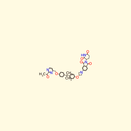 CC(=O)c1nccc(COc2ccc(C(C)(C)c3ccc(OC4CN(c5ccc6c(c5)C(=O)N(C5CCC(=O)NC5=O)C6=O)C4)cc3)cc2)n1